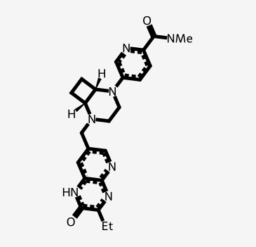 CCc1nc2ncc(CN3CCN(c4ccc(C(=O)NC)nc4)[C@H]4CC[C@H]43)cc2[nH]c1=O